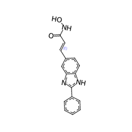 O=C(/C=C/c1ccc2[nH]c(-c3ccccc3)nc2c1)NO